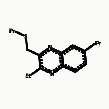 CCc1nc2ccc(C(C)C)cc2nc1CSC(C)C